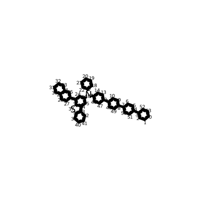 c1ccc(-c2ccc(-c3ccc(-c4ccc(N(c5ccccc5)c5cc(-c6ccc7ccccc7c6)c6sc7ccccc7c6c5)cc4)cc3)cc2)cc1